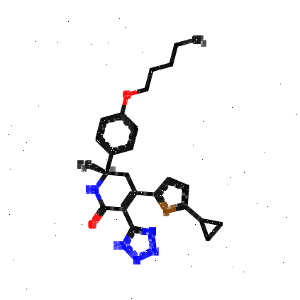 O=C1N[C@@](c2ccc(OCCCCC(F)(F)F)cc2)(C(F)(F)F)CC(c2ccc(C3CC3)s2)=C1c1nnn[nH]1